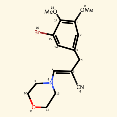 COc1cc(CC(C#N)=CN2CCOCC2)cc(Br)c1OC